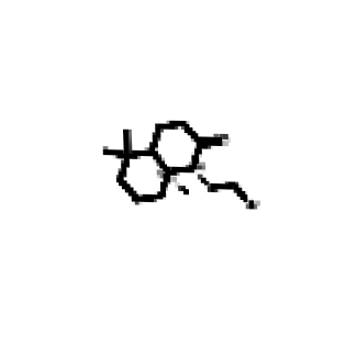 CC(=O)CC[C@H]1C(=O)CCC2C(C)(C)CCC[C@@]21C